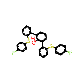 Oc1c(-c2ccccc2Sc2ccc(F)cc2)cccc1-c1ccccc1Sc1ccc(F)cc1